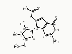 Nc1nc2c(nc(CC(=O)O)n2[C@@H]2O[C@H](CO)[C@@H](O)[C@H]2S)c(=O)[nH]1